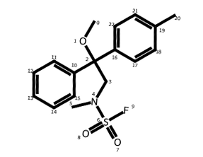 COC(CN(C)S(=O)(=O)F)(c1ccccc1)c1ccc(C)cc1